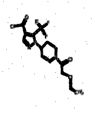 CCOCC(=O)N1CCC(n2ncc(C(=O)Cl)c2C(F)(F)F)CC1